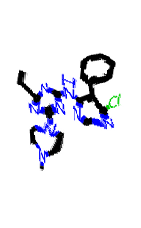 CCc1nc(Nc2ncnc(Cl)c2-c2ccccc2)nc(N2CCN(C)CC2)n1